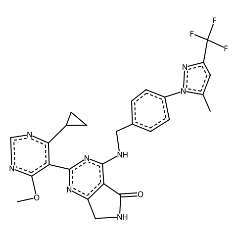 COc1ncnc(C2CC2)c1-c1nc2c(c(NCc3ccc(-n4nc(C(F)(F)F)cc4C)cc3)n1)C(=O)NC2